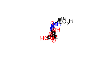 CCCC(CCCNC(=O)N1CCN(Cc2c(O)ccc3c2Oc2cc(O)ccc2C32OC(=O)c3ccccc32)CC1)C(=O)O